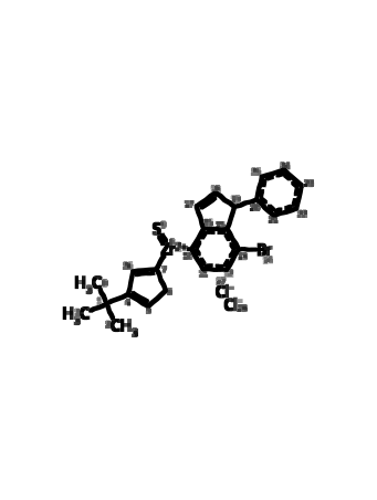 CC(C)(C)C1=CC[C]([Zr+2](=[S])[c]2ccc(Br)c3c2C=CC3c2ccccc2)=C1.[Cl-].[Cl-]